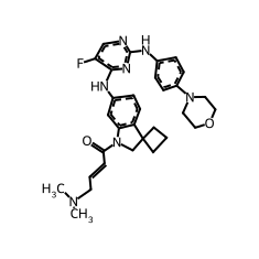 CN(C)C/C=C/C(=O)N1CC2(CCC2)c2ccc(Nc3nc(Nc4ccc(N5CCOCC5)cc4)ncc3F)cc21